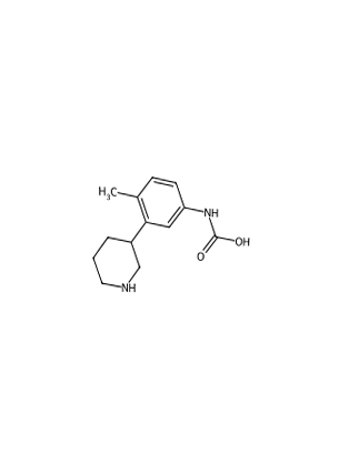 Cc1ccc(NC(=O)O)cc1C1CCCNC1